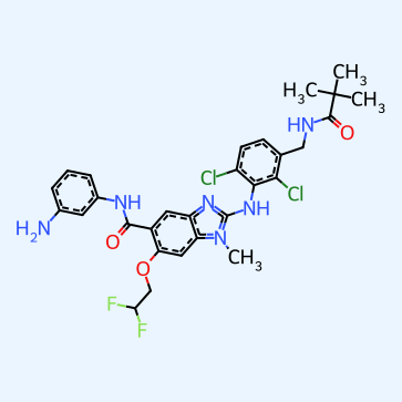 Cn1c(Nc2c(Cl)ccc(CNC(=O)C(C)(C)C)c2Cl)nc2cc(C(=O)Nc3cccc(N)c3)c(OCC(F)F)cc21